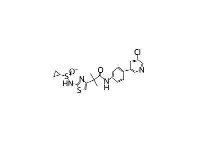 CC(C)(C(=O)Nc1ccc(-c2cncc(Cl)c2)cc1)c1csc(N[S+]([O-])C2CC2)n1